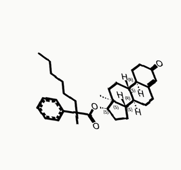 CCCCCCC(C)(C(=O)O[C@H]1CC[C@H]2[C@@H]3CCC4=CC(=O)CC[C@@H]4[C@H]3CC[C@]12C)c1ccccc1